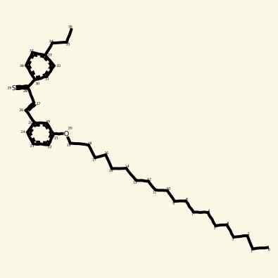 CCCCCCCCCCCCCCCCCCCCOc1cccc(C=CC(=S)c2ccc(CCC)cc2)c1